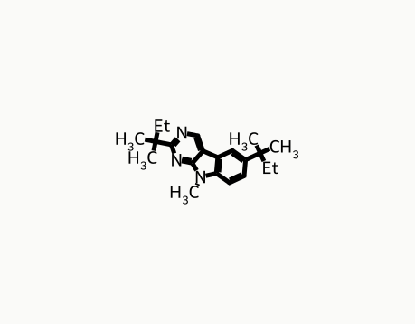 CCC(C)(C)c1ccc2c(c1)c1cnc(C(C)(C)CC)nc1n2C